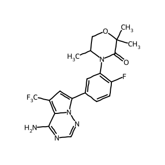 CC1COC(C)(C)C(=O)N1c1cc(-c2cc(C(F)(F)F)c3c(N)ncnn23)ccc1F